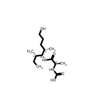 CC[C@H](C)[C@@H](NC(=O)[C@@H](C)NC(=O)O)[C@@H](C)CCCO